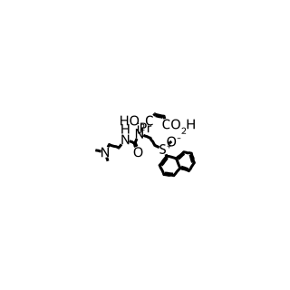 CC(C)N(CC[S+]([O-])c1cccc2ccccc12)C(=O)NCCN(C)C.O=C(O)/C=C\C(=O)O